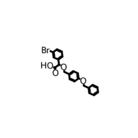 O=C(O)C(OCc1ccc(OCc2ccccc2)cc1)c1cccc(Br)c1